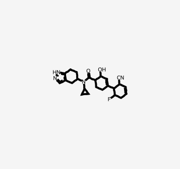 N#CC1C=CCC(F)C1C1=CC(O)C(C(=O)N(C2CC2)C2CCc3[nH]ncc3C2)CC1